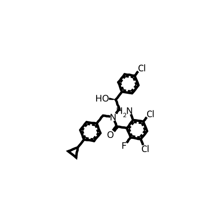 Nc1c(Cl)cc(Cl)c(F)c1C(=O)N(Cc1ccc(C2CC2)cc1)C[C@@H](O)c1ccc(Cl)cc1